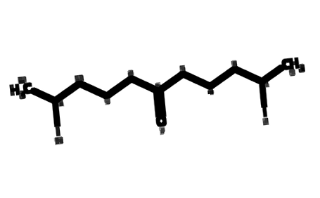 CC(I)CCCC(=O)CCCC(C)I